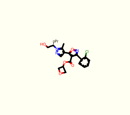 CCC[C@@H](CO)n1ncc(-c2onc(-c3ccccc3Cl)c2C(=O)OC2COC2)c1C